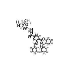 CC(C)(C)OC(=O)CCNC(=O)c1ncc(C(=O)NC(c2ccccc2)c2ccccc2)c(OCc2ccccc2)n1